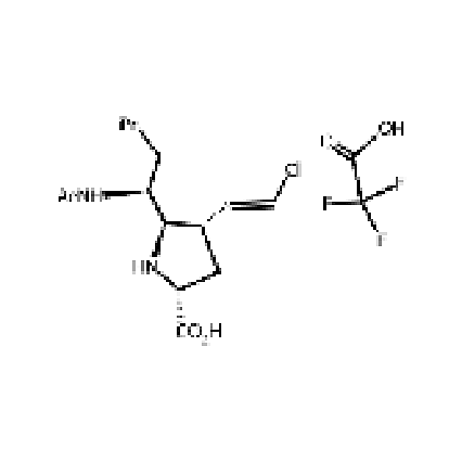 CC(=O)N[C@@H](CC(C)C)[C@@H]1N[C@@H](C(=O)O)C[C@H]1/C=C/Cl.O=C(O)C(F)(F)F